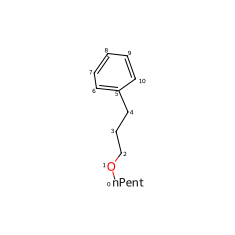 CCCCCOCCCc1cc[c]cc1